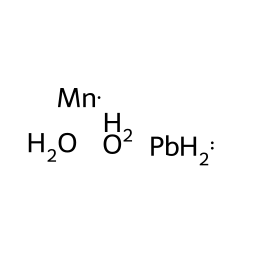 O.O.[Mn].[PbH2]